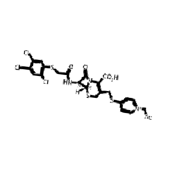 CC(=O)C[n+]1ccc(SCC2=C(C(=O)O)N3C(=O)[C@H](NC(=O)CSc4cc(Cl)c(Cl)cc4Cl)[C@H]3SC2)cc1